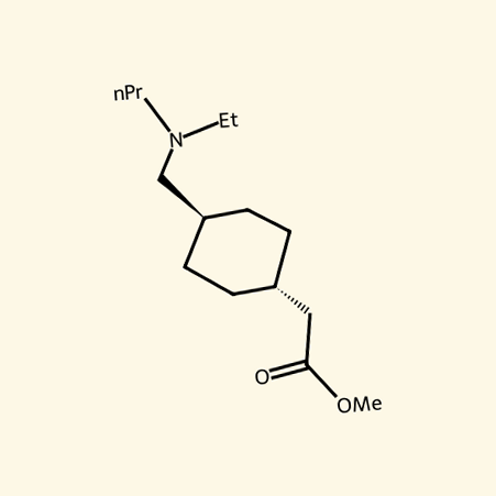 CCCN(CC)C[C@H]1CC[C@H](CC(=O)OC)CC1